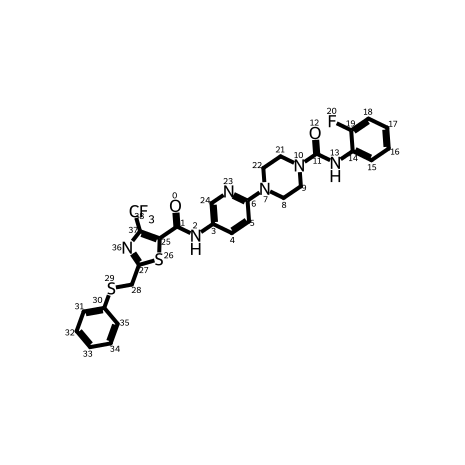 O=C(Nc1ccc(N2CCN(C(=O)Nc3ccccc3F)CC2)nc1)c1sc(CSc2ccccc2)nc1C(F)(F)F